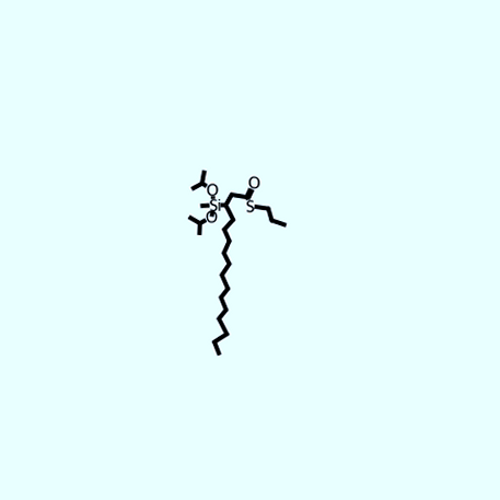 CCCCCCCCCCCCCC(CC(=O)SCCC)[Si](C)(OC(C)C)OC(C)C